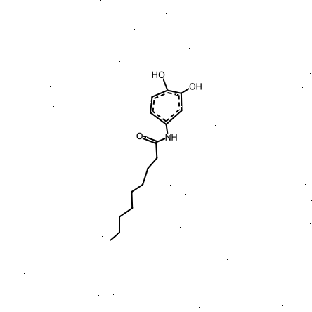 CCCCCCCCC(=O)Nc1ccc(O)c(O)c1